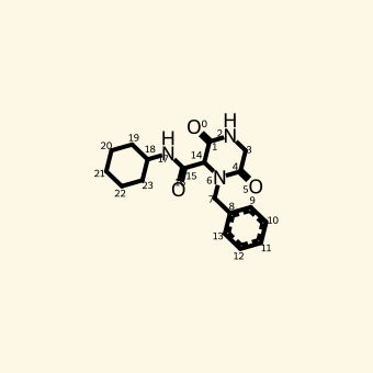 O=C1NCC(=O)N(Cc2ccccc2)C1C(=O)NC1CCCCC1